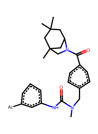 CC(=O)c1cccc(NC(=O)N(C)Cc2ccc(C(=O)N3CC4(C)CC3CC(C)(C)C4)cc2)c1